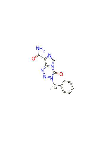 C[C@@H](c1ccccc1)n1nnc2c(C(N)=O)ncn2c1=O